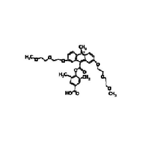 COCCOCCOc1ccc2c(c1)c(C(=O)Oc1c(C)cc(C(=O)O)cc1C)c1cc(OCCOCCOC)ccc1[n+]2C